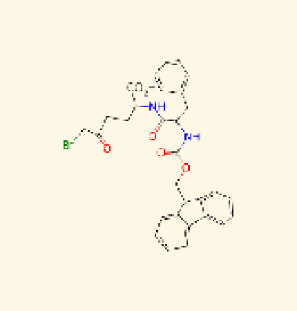 O=C(CBr)CCC(NC(=O)C(Cc1ccccc1)NC(=O)OCC1c2ccccc2-c2ccccc21)C(=O)O